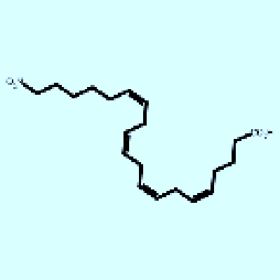 O=C(O)CCC/C=C\C/C=C\C/C=C\C/C=C\CCCCC[N+](=O)[O-]